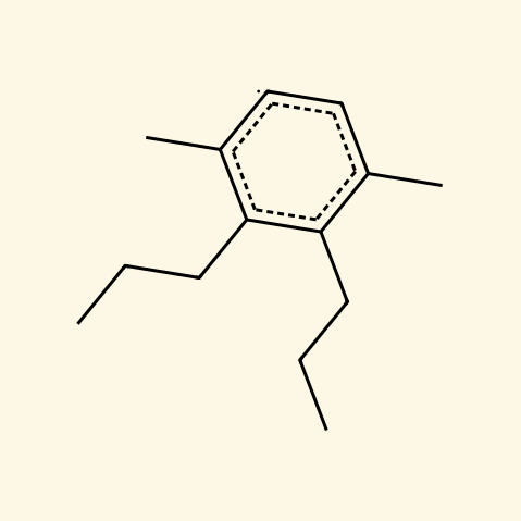 CCCc1c(C)[c]cc(C)c1CCC